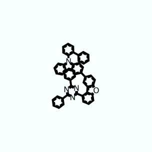 c1ccc(-c2nc(-c3ccccc3)nc(-c3cccc4oc5ccc(-c6ccc7c(c6)c6ccccc6n7-c6ccccc6-c6ccccc6)cc5c34)n2)cc1